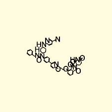 N#Cc1ccc(N[C@H]2CC[C@H](N(C(=O)NCc3ccccc3)c3ccc(-c4ccc(OCCOc5cccc6c5C(=O)N(C5CCC(=O)NC5=O)C6=O)nc4)cc3)CC2)nc1